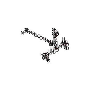 CC(=O)NC1C(OCCOCCNC(=O)CCC(NC(=O)CCC(NCC(=O)CCOCCOCCOCCOCCOCCOCCOCCOCCOP(OCCC#N)N(C(C)C)C(C)C)C(=O)NCCOCCOC2(NC(C)=O)COC(COC(C)=O)C(OC(C)=O)C2)C(=O)NCCOCCOC2OC(COC(C)=O)C(OC(C)=O)C(OC(C)=O)C2NC(C)=O)OC(COC(C)=O)C(OC(C)=O)C1OC(C)=O